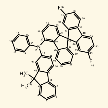 CC1(C)c2ccccc2-c2ccc(N(c3ccccc3)c3cccc4c3-c3ccccc3C43c4cc(F)ccc4-c4ccc(F)cc43)cc21